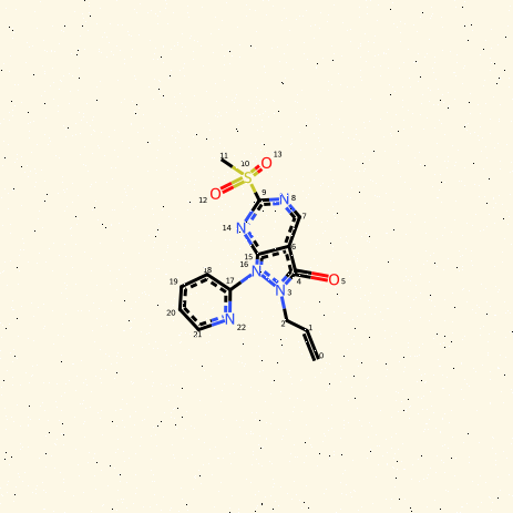 C=CCn1c(=O)c2cnc(S(C)(=O)=O)nc2n1-c1ccccn1